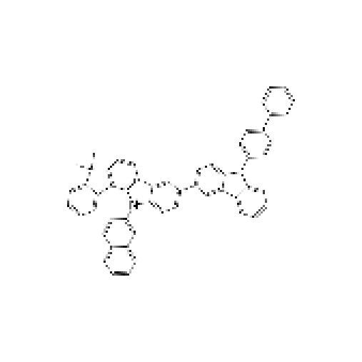 CC1(C)c2ccccc2-c2c1ccc1c3cc(-c4ccc5c(c4)-c4ccccc4C5c4ccc(-c5ccccc5)cc4)ccc3n(-c3ccc4ccccc4c3)c21